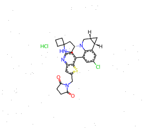 Cl.O=C1CCC(=O)N1Cc1cc2nccc(-c3cc(Cl)cc4c3N([C@@H]3CNC5(CCC5)C3)C[C@@H]3C[C@H]43)c2s1